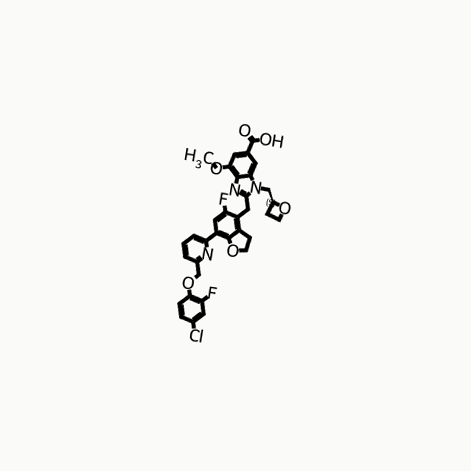 COc1cc(C(=O)O)cc2c1nc(Cc1c(F)cc(-c3cccc(COc4ccc(Cl)cc4F)n3)c3c1CCO3)n2C[C@@H]1CCO1